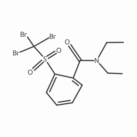 CCN(CC)C(=O)c1ccccc1S(=O)(=O)C(Br)(Br)Br